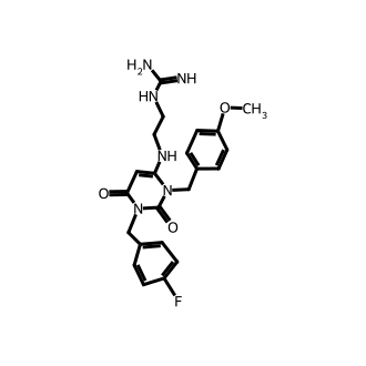 COc1ccc(Cn2c(NCCNC(=N)N)cc(=O)n(Cc3ccc(F)cc3)c2=O)cc1